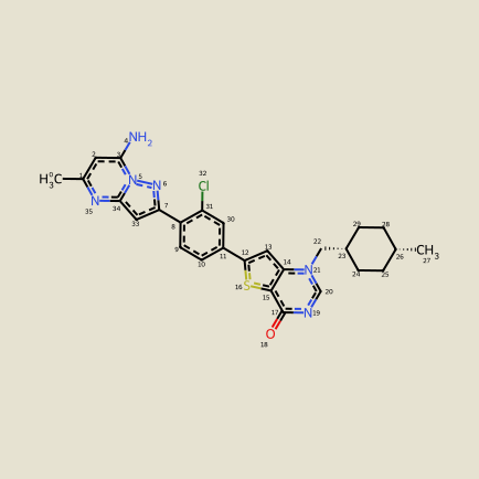 Cc1cc(N)n2nc(-c3ccc(-c4cc5c(s4)c(=O)ncn5C[C@H]4CC[C@@H](C)CC4)cc3Cl)cc2n1